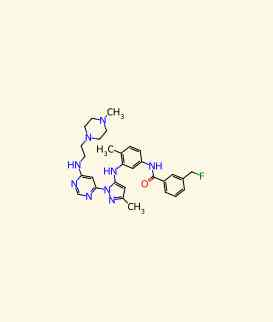 Cc1cc(Nc2cc(NC(=O)c3cccc(CF)c3)ccc2C)n(-c2cc(NCCN3CCN(C)CC3)ncn2)n1